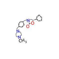 CN1CCN(Cc2ccc(CN3C[C@@H](c4ccccc4)OC3=O)cc2)CC1